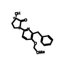 COCOc1ccc(N2CC[C@H](O)C2=O)nc1Cc1ccccc1